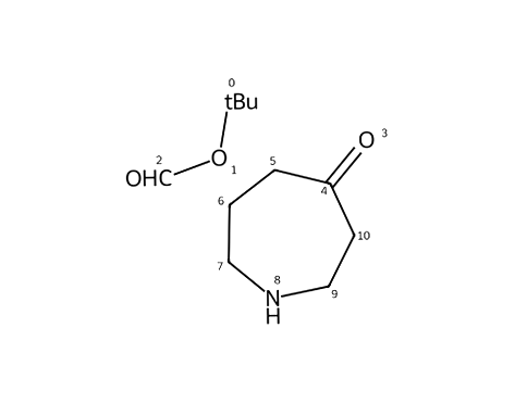 CC(C)(C)OC=O.O=C1CCCNCC1